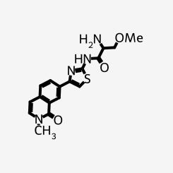 COCC(N)C(=O)Nc1nc(-c2ccc3ccn(C)c(=O)c3c2)cs1